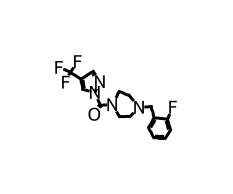 O=C(N1CCN(Cc2ccccc2F)CC1)n1cc(C(F)(F)F)cn1